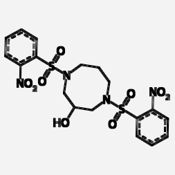 O=[N+]([O-])c1ccccc1S(=O)(=O)N1CCCN(S(=O)(=O)c2ccccc2[N+](=O)[O-])CC(O)C1